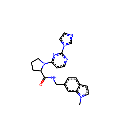 Cn1ccc2ccc(CNC(=O)C3CCCN3c3ccnc(-n4ccnc4)n3)cc21